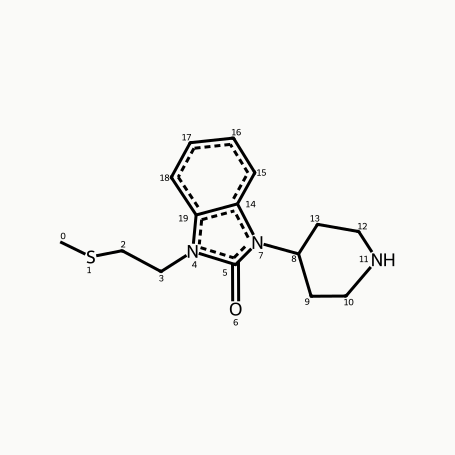 CSCCn1c(=O)n(C2CCNCC2)c2ccccc21